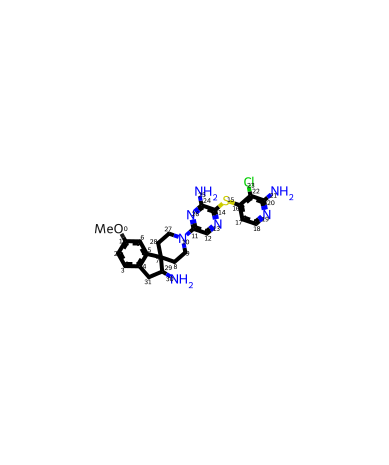 COc1ccc2c(c1)C1(CCN(c3cnc(Sc4ccnc(N)c4Cl)c(N)n3)CC1)C(N)C2